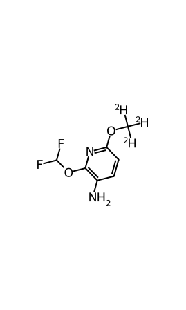 [2H]C([2H])([2H])Oc1ccc(N)c(OC(F)F)n1